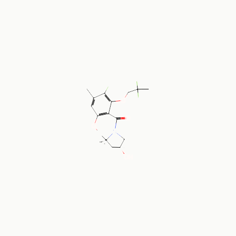 Cc1cc2c(c(OCC(C)(F)F)c1F)C(=O)N1C[C@@H](O)C[C@@H]1CO2